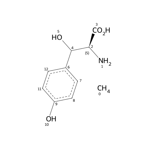 C.N[C@H](C(=O)O)C(O)c1ccc(O)cc1